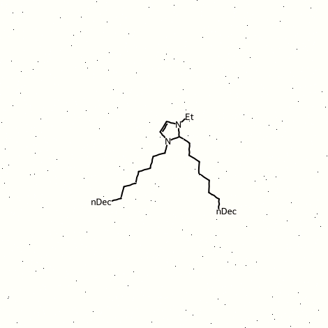 CCCCCCCCCCCCCCCCCC1N(CC)C=CN1CCCCCCCCCCCCCCCCC